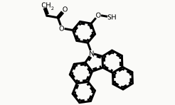 C=CC(=O)Oc1cc(OS)cc(-n2c3ccc4ccccc4c3c3c4ccccc4ccc32)c1